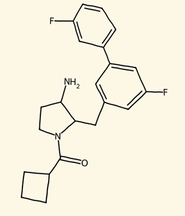 NC1CCN(C(=O)C2CCC2)C1Cc1cc(F)cc(-c2cccc(F)c2)c1